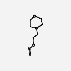 C=NOCCN1CCOCC1